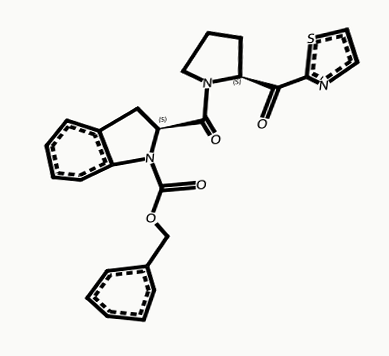 O=C(c1nccs1)[C@@H]1CCCN1C(=O)[C@@H]1Cc2ccccc2N1C(=O)OCc1ccccc1